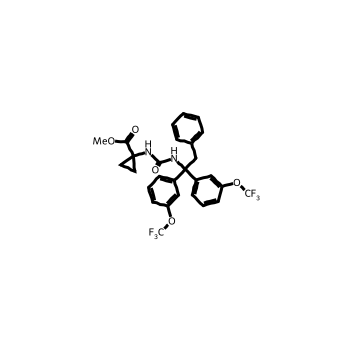 COC(=O)C1(NC(=O)NC(Cc2ccccc2)(c2cccc(OC(F)(F)F)c2)c2cccc(OC(F)(F)F)c2)CC1